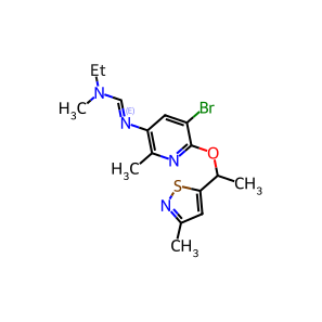 CCN(C)/C=N/c1cc(Br)c(OC(C)c2cc(C)ns2)nc1C